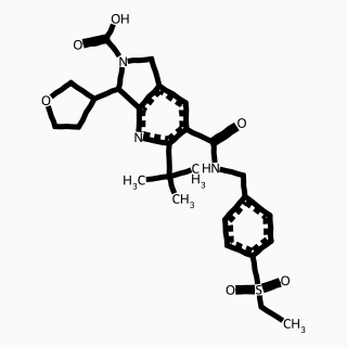 CCS(=O)(=O)c1ccc(CNC(=O)c2cc3c(nc2C(C)(C)C)C(C2CCOC2)N(C(=O)O)C3)cc1